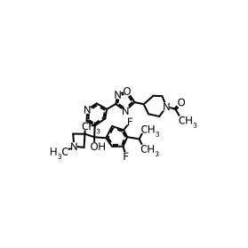 CC(=O)N1CCC(c2nc(-c3cncc(C(O)(c4cc(F)c(C(C)C)c(F)c4)C4(C)CN(C)C4)c3)no2)CC1